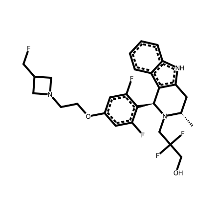 C[C@H]1Cc2[nH]c3ccccc3c2[C@H](c2c(F)cc(OCCN3CC(CF)C3)cc2F)N1CC(F)(F)CO